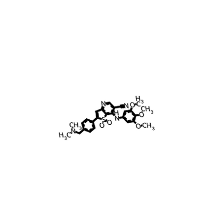 COc1cc(Nc2c(C#N)cnc3c2S(=O)(=O)C(c2ccc(CN(C)C)cc2)=C3)cc(OC)c1OC